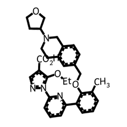 CCOc1c(C(=O)O)cnn1-c1cccc(-c2cccc(C)c2OCc2ccc3c(c2)CCN(C2CCOC2)C3)n1